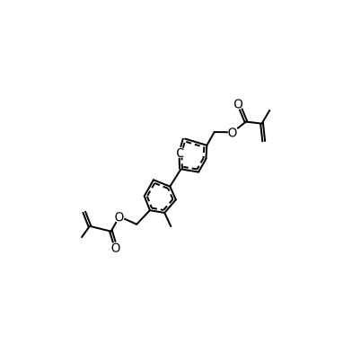 C=C(C)C(=O)OCc1ccc(-c2ccc(COC(=O)C(=C)C)c(C)c2)cc1